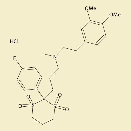 COc1ccc(CCN(C)CCCC2(c3ccc(F)cc3)S(=O)(=O)CCCS2(=O)=O)cc1OC.Cl